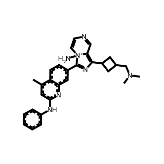 Cc1cc(Nc2ccccc2)nc2cc(C3=NC(C4CC(CN(C)C)C4)=C4C=NC=C[N+]34N)ccc12